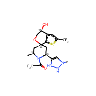 C[C@H]1C[C@@]2(C[C@@H](C3=CN(C)NN3)N1C(=O)C(F)(F)F)OC[C@@H](O)c1cc(C(F)(F)F)sc12